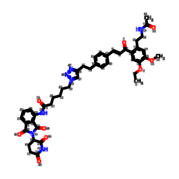 CCOc1cc(C(=O)/C=C/c2ccc(CCc3cn(CCCCCC(=O)Nc4cccc5c4C(=O)N(C4CCC(=O)NC4=O)C5=O)nn3)cc2)c(CCNC(C)=O)cc1OC